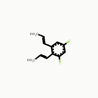 CCOC(=O)C=Cc1cc(F)cc(F)c1C=CC(=O)OCC